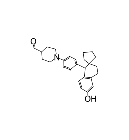 O=CC1CCN(c2ccc(C3c4ccc(O)cc4CCC34CCCC4)cc2)CC1